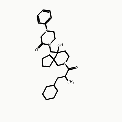 CC(CC1CCCCC1)C(=O)N1CCC(O)(CN2CCN(c3ccccc3)CC2=O)C2(CCCC2)C1